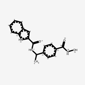 CC(NC(=O)c1cc2ccccc2[nH]1)c1ccc(C(=O)NO)cc1